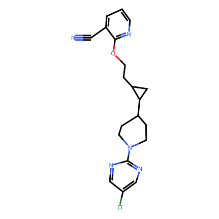 N#Cc1cccnc1OCCC1CC1C1CCN(c2ncc(Cl)cn2)CC1